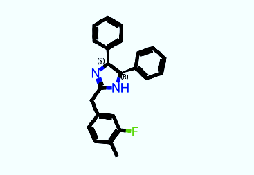 Cc1ccc(CC2=N[C@@H](c3ccccc3)[C@@H](c3ccccc3)N2)cc1F